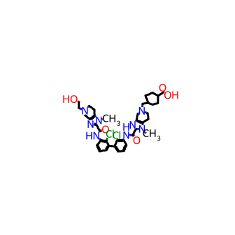 Cn1c(C(=O)Nc2cccc(-c3cccc(NC(=O)c4nc5c(n4C)CCN(CC4CCC(C(=O)O)CC4)C5)c3Cl)c2Cl)nc2c1CCN(CCO)C2